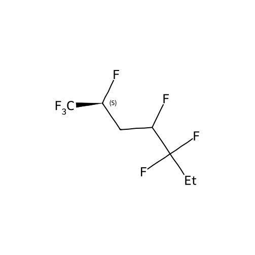 [CH2]CC(F)(F)C(F)C[C@H](F)C(F)(F)F